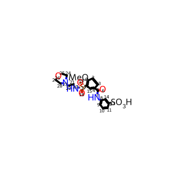 COc1ccc(C(=O)Nc2cccc(S(=O)(=O)O)c2)cc1S(=O)(=O)NCCN1CCOCC1